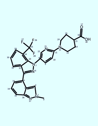 Cn1cc2c(-c3nn(-c4ccc(N5CCC(C(=O)O)CC5)nc4)c4c(C(F)(F)F)cccc34)cccc2n1